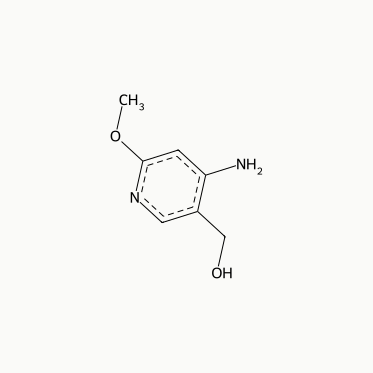 COc1cc(N)c(CO)cn1